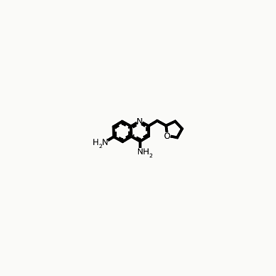 Nc1ccc2nc(CC3CCCO3)cc(N)c2c1